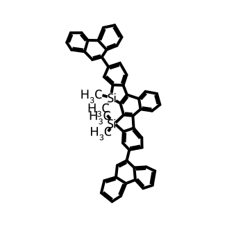 C[Si]1(C)c2cc(-c3cc4ccccc4c4ccccc34)ccc2-c2c1c1c(c3ccccc23)-c2ccc(-c3cc4ccccc4c4ccccc34)cc2[Si]1(C)C